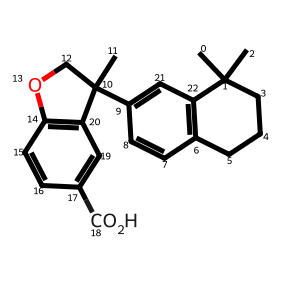 CC1(C)CCCc2ccc(C3(C)COc4ccc(C(=O)O)cc43)cc21